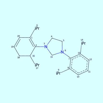 CC(C)C1=C(N2CCN(c3c(C(C)C)cccc3C(C)C)C2)C(C(C)C)CC=C1